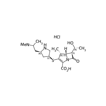 CNC(C)C[C@@H]1C[C@H](SC2=C(C(=O)O)N3C(=O)[C@H]([C@@H](C)O)[C@H]3[C@H]2C)CN1.Cl